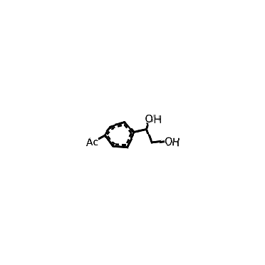 CC(=O)c1ccc(C(O)CO)cc1